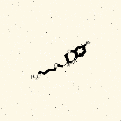 CCCCCOC[C@@H]1COc2cc(Br)ccc2O1